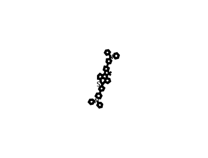 CC1(C)c2cc(-c3ccc(N(c4ccccc4)c4ccccc4)cc3)ccc2-c2c1c1cccc3c4c5ccc(-c6ccc(N(c7ccccc7)c7ccccc7)cc6)cc5sc4c4cccc2c4c13